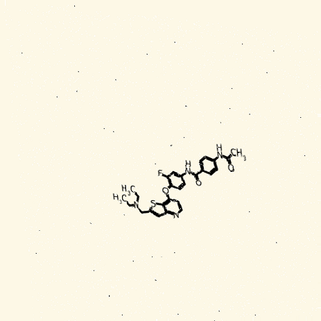 CCN(CC)Cc1cc2nccc(Oc3ccc(NC(=O)c4ccc(NC(C)=O)cc4)cc3F)c2s1